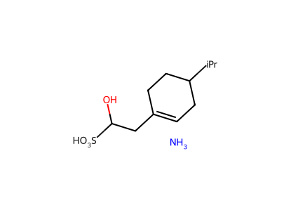 CC(C)C1CC=C(CC(O)S(=O)(=O)O)CC1.N